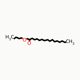 CCCCCCCCCCCCCCCC(=O)COCCCCC